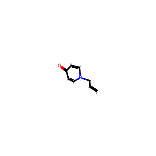 C=CCn1[c]cc(=O)cc1